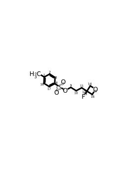 Cc1ccc(S(=O)(=O)OCCCC2(F)COC2)cc1